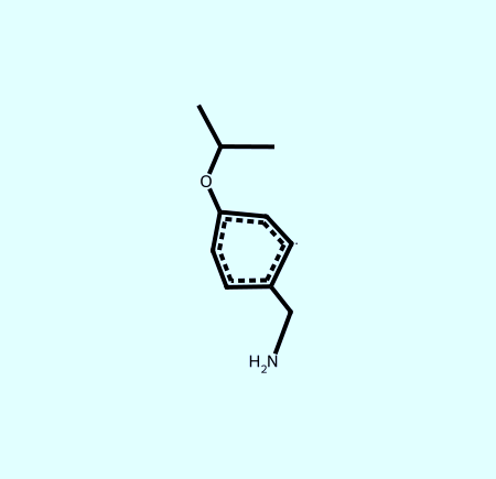 CC(C)Oc1c[c]c(CN)cc1